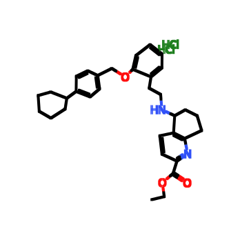 CCOC(=O)c1ccc2c(n1)CCCC2NCCc1ccccc1OCc1ccc(C2CCCCC2)cc1.Cl.Cl